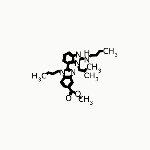 CCCCNc1nc2cccc(-c3nc4cc(C(=O)OC)ccc4n3CCCC)c2n1CC(C)C